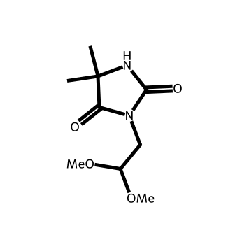 COC(CN1C(=O)NC(C)(C)C1=O)OC